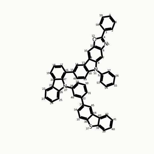 c1ccc(-c2nc3cc4c(cc3o2)c2cc(-c3cccc5c6ccccc6n(-c6cccc(-c7ccc8sc9ccccc9c8c7)c6)c35)ccc2n4-c2ccccc2)cc1